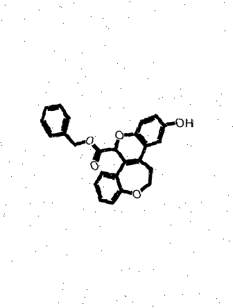 O=C(OCc1ccccc1)C1Oc2ccc(O)cc2C2=C1c1ccccc1OCC2